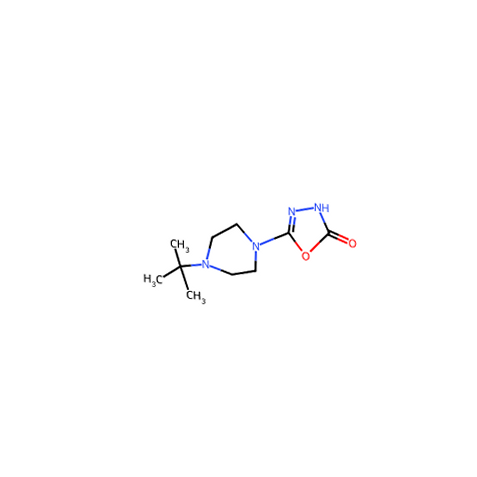 CC(C)(C)N1CCN(c2n[nH]c(=O)o2)CC1